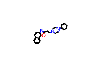 c1ccc(N2CCN(CCc3nc4ccc5ccccc5c4o3)CC2)cc1